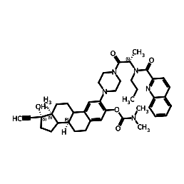 C#C[C@]1(O)CCC2[C@@H]3CCc4cc(OC(=O)N(C)C)c(N5CCN(C(=O)[C@H](C)N(CCC)C(=O)c6ccc7ccccc7n6)CC5)cc4C3CC[C@@]21C